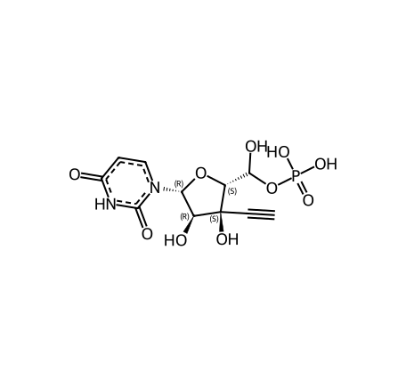 C#C[C@@]1(O)[C@@H](C(O)OP(=O)(O)O)O[C@@H](n2ccc(=O)[nH]c2=O)[C@@H]1O